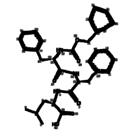 CC(C)C[C@H](NC(=O)[C@H](Cc1ccccc1)NC(=O)[C@H](Cc1ccccc1)NC(=O)OCc1ccccc1)C(=O)O